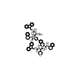 CC(C)(C)[C@H](NC(=O)OCC1c2ccccc2-c2ccccc21)C(=O)N1C[C@@H](c2ccc3c(c2)CN(C(=O)[C@@H](NC(=O)OCC2c4ccccc4-c4ccccc42)C2CCOCC2)[C@H](C(=O)N[C@@H]2CCCc4ccccc42)C3)C[C@H]1C(=O)N[C@@H]1CCCc2ccccc21